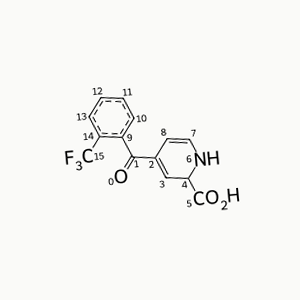 O=C(C1=CC(C(=O)O)NC=C1)c1ccccc1C(F)(F)F